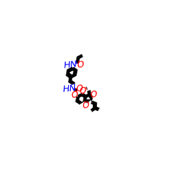 CCC(=O)Nc1ccc(CCNC(=O)OC2CC[C@]3(CO3)C(C3(C)O[C@@H]3CC=C(C)C)C2OC)cc1